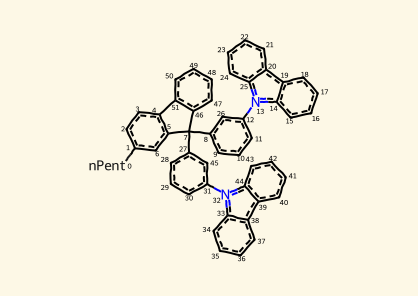 CCCCCc1ccc2c(c1)C(c1cccc(-n3c4ccccc4c4ccccc43)c1)(c1cccc(-n3c4ccccc4c4ccccc43)c1)c1ccccc1-2